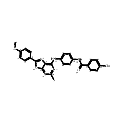 COc1ccc(-c2nc3c(Nc4ccc(NC(=O)c5ccc(Cl)cc5)cc4)nc(C)nc3o2)cc1